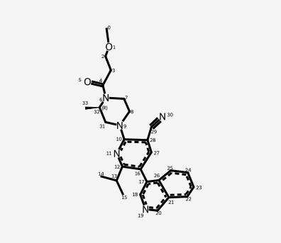 COCCC(=O)N1CCN(c2nc(C(C)C)c(-c3cncc4ccccc34)cc2C#N)C[C@H]1C